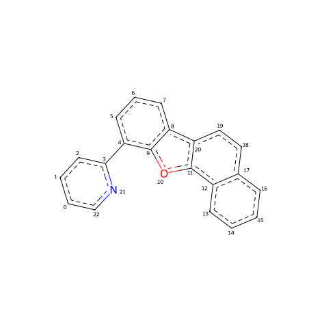 c1ccc(-c2cccc3c2oc2c4ccccc4ccc32)nc1